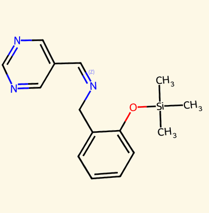 C[Si](C)(C)Oc1ccccc1C/N=C\c1cncnc1